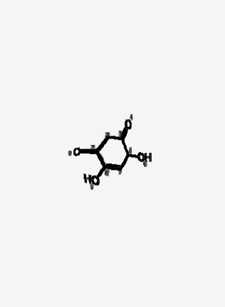 O=C1CC(=O)C(O)C=C1O